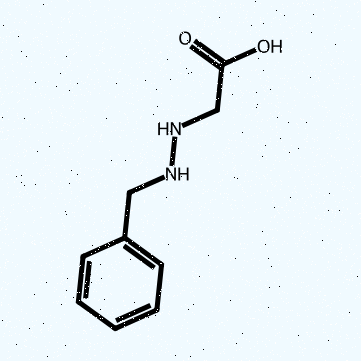 O=C(O)CNNCc1ccccc1